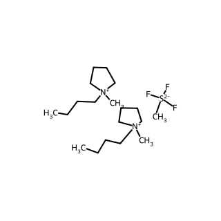 CCCC[N+]1(C)CCCC1.CCCC[N+]1(C)CCCC1.C[S-2](F)(F)F